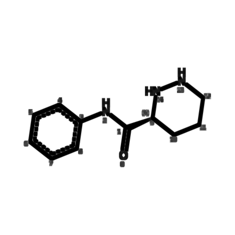 O=C(Nc1ccccc1)[C@@H]1CCCNN1